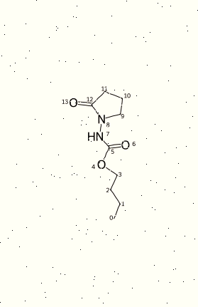 CCCCOC(=O)NN1CCCC1=O